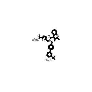 COC(=O)c1ccc(CN(Cc2ccc(-c3cccc(C(C)(C)C(=O)O)c3)cc2)C(=O)c2c(C)c(C)nc3cccnc23)o1